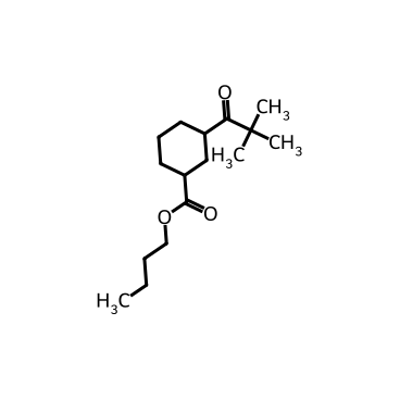 CCCCOC(=O)C1CCCC(C(=O)C(C)(C)C)C1